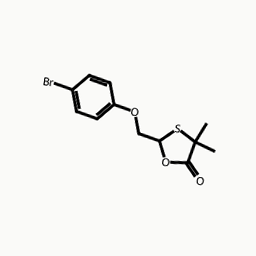 CC1(C)SC(COc2ccc(Br)cc2)OC1=O